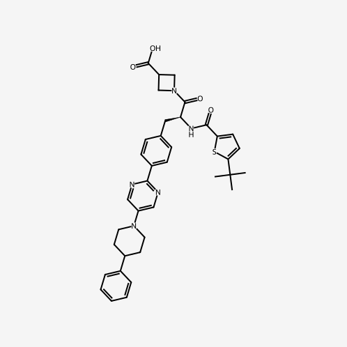 CC(C)(C)c1ccc(C(=O)N[C@@H](Cc2ccc(-c3ncc(N4CCC(c5ccccc5)CC4)cn3)cc2)C(=O)N2CC(C(=O)O)C2)s1